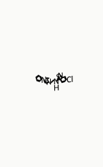 Clc1ccc2c(NCCN3CCN(c4ccccc4)CC3)snc2c1